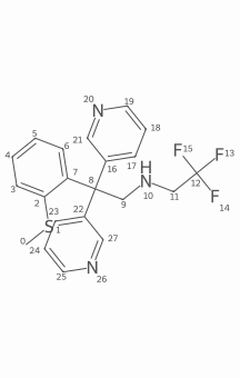 CSc1ccccc1C(CNCC(F)(F)F)(c1cccnc1)c1cccnc1